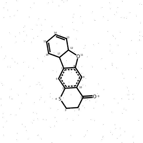 O=C1CCSc2cc3c(cc21)OC1C=CC=CC31